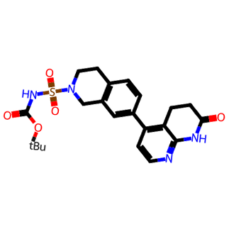 CC(C)(C)OC(=O)NS(=O)(=O)N1CCc2ccc(-c3ccnc4c3CCC(=O)N4)cc2C1